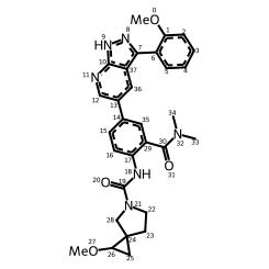 COc1ccccc1-c1n[nH]c2ncc(-c3ccc(NC(=O)N4CCC5(CC5OC)C4)c(C(=O)N(C)C)c3)cc12